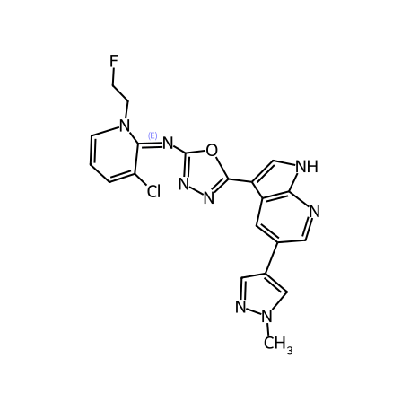 Cn1cc(-c2cnc3[nH]cc(-c4nnc(/N=c5\c(Cl)cccn5CCF)o4)c3c2)cn1